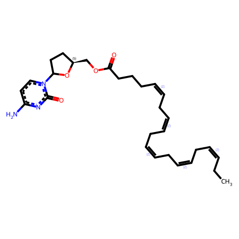 CC/C=C\C/C=C\C/C=C\C/C=C\C/C=C\CCCC(=O)OC[C@@H]1CCC(n2ccc(N)nc2=O)O1